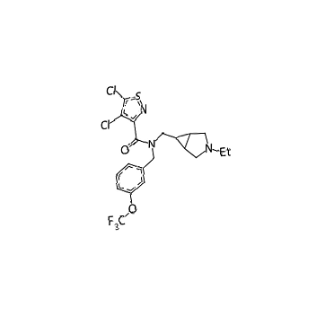 CCN1CC2C(C1)C2CN(Cc1cccc(OC(F)(F)F)c1)C(=O)c1nsc(Cl)c1Cl